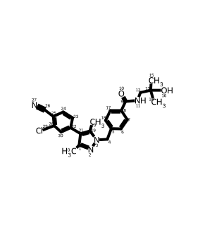 Cc1nn(Cc2ccc(C(=O)NCC(C)(C)O)cc2)c(C)c1-c1ccc(C#N)c(Cl)c1